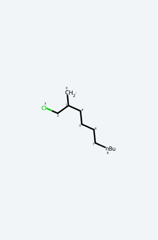 [CH2]C(CCl)CCCCCCCC